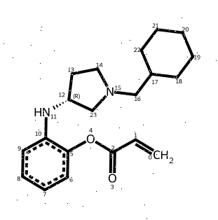 C=CC(=O)Oc1ccccc1N[C@@H]1CCN(CC2CCCCC2)C1